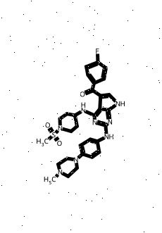 CN1CCN(c2ccc(Nc3nc(NC4CCN(S(C)(=O)=O)CC4)c4c(C(=O)c5ccc(F)cc5)c[nH]c4n3)cc2)CC1